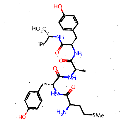 CSCC[C@@H](N)C(=O)N[C@H](Cc1ccc(O)cc1)C(=O)N[C@H](C)C(=O)N[C@H](Cc1ccc(O)cc1)C(=O)N[C@@H](C(=O)O)C(C)C